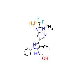 Cc1c(-c2cnc3c(c2)nc(C(F)(F)P)n3C)nn(-c2ccccc2)c1NCO